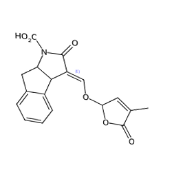 CC1=CC(O/C=C2/C(=O)N(C(=O)O)C3Cc4ccccc4C23)OC1=O